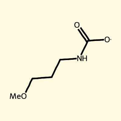 COCCCNC([O])=O